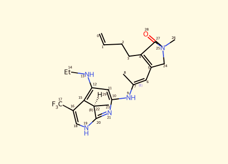 C=CCCC1=C(/C=C(\C)NC2=CC(NCC)=C3C(C(F)(F)F)=CNC(=N2)[C@@H]3C)CN(C)C1=O